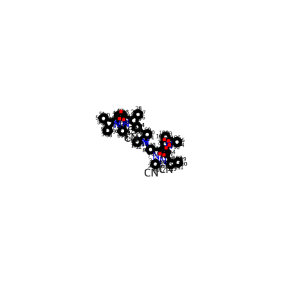 N#Cc1ccc(-n2c3ccc(-n4c5ccccc5c5c(-c6ccc7c(c6)c6ccccc6c6c8ccccc8n(-c8c(-n9c%10ccccc%10c%10c%11ccccc%11c%11ccccc%11c%109)ccc(C#N)c8C#N)c76)cccc54)cc3c3c4ccccc4ccc32)c(-n2c3ccc(-n4c5ccccc5c5ccccc54)cc3c3c4ccccc4ccc32)c1C#N